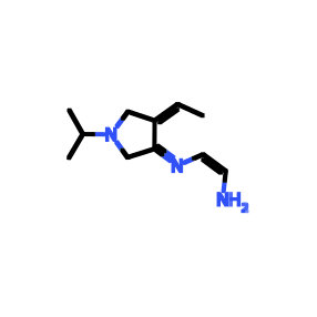 C/C=C1/CN(C(C)C)C/C1=N/C=C\N